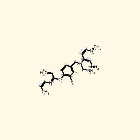 C=C/C(=N\C=C/C)Oc1ccc(CN(CN)C(/C=C\N=C)=C\N)cc1F